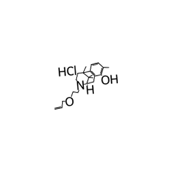 C=CCOCCN1CCC2(C)c3ccc(C)c(O)c3C[C@@H]1C2(C)C.Cl